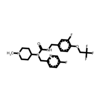 CN1CCC(N(Cc2ccc(F)cn2)C(=O)NCc2ccc(OCC(F)(F)F)c(F)c2)CC1